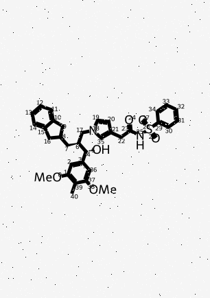 COc1cc([C@@H](O)[C@@H](CC2Cc3ccccc3C2)Cn2ccc(CC(=O)NS(=O)(=O)c3ccccc3)c2)cc(OC)c1C